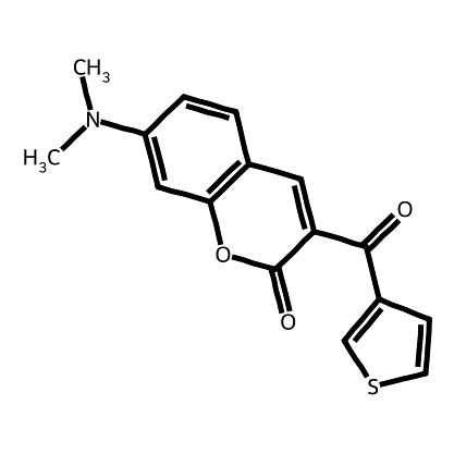 CN(C)c1ccc2cc(C(=O)c3ccsc3)c(=O)oc2c1